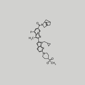 Cc1c(-c2cc3ccc(N4CCC(S(C)(=O)=O)CC4)nc3n2CC2CC2)nn2cc(C(=O)N3CC4CC5CC3[C@H]54)cc(F)c12